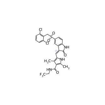 Cc1[nH]c(/C=C2\C(=O)Nc3ccc(S(=O)(=O)Cc4c(Cl)cccc4Cl)cc32)c(C)c1C(=O)NCC(F)(F)F